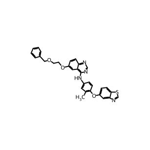 Cc1cc(Nc2ncnc3ccc(OCCOCc4ccccc4)cc23)ccc1Oc1ccc2scnc2c1